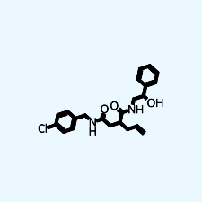 C=CCC(CC(=O)NCc1ccc(Cl)cc1)C(=O)NCC(O)c1ccccc1